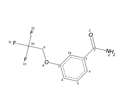 NC(=O)c1cccc(OCC(F)(F)F)c1